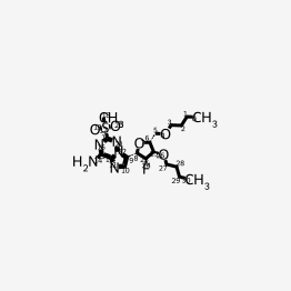 CCCCOC[C@H]1O[C@@H](c2cnc3c(N)nc(S(C)(=O)=O)nn23)[C@H](F)[C@@H]1OCCCC